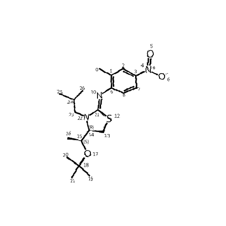 Cc1cc([N+](=O)[O-])ccc1N=C1SC[C@@H]([C@H](C)OC(C)(C)C)N1CC(C)C